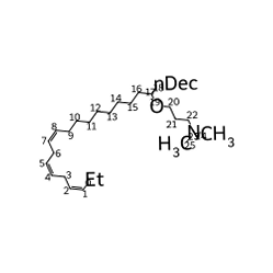 CC/C=C\C/C=C\C/C=C\CCCCCCCCC(CCCCCCCCCC)OCCCN(C)C